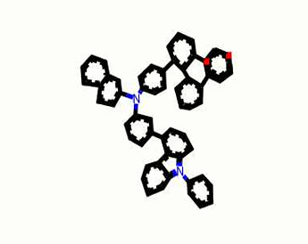 c1ccc(-c2ccccc2-c2c(-c3ccccc3)cccc2-c2ccc(N(c3cccc(-c4cccc5c4c4ccccc4n5-c4ccccc4)c3)c3ccc4ccccc4c3)cc2)cc1